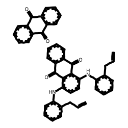 C=CCc1ccccc1Nc1ccc(Nc2ccccc2CC=C)c2c1C(=O)c1ccccc1C2=O.O=C1c2ccccc2C(=O)c2ccccc21